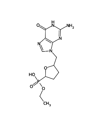 CCOP(=O)(O)C1CCC(Cn2cnc3c(=O)[nH]c(N)nc32)O1